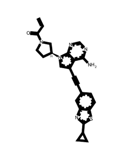 C=CC(=O)N1CC[C@H](n2cc(C#Cc3ccc4sc(C5CC5)nc4c3)c3c(N)ncnc32)C1